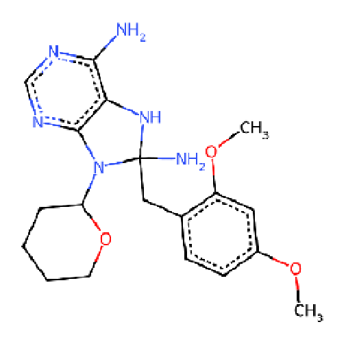 COc1ccc(CC2(N)Nc3c(N)ncnc3N2C2CCCCO2)c(OC)c1